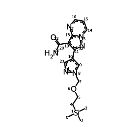 C[Si](C)(C)CCOCn1cc(-c2nn3cccnc3c2C(N)=O)cn1